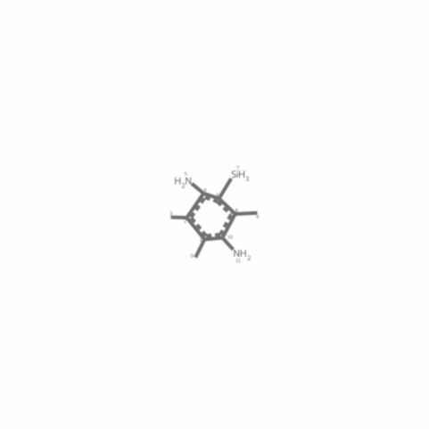 Cc1c(C)c(N)c([SiH3])c(C)c1N